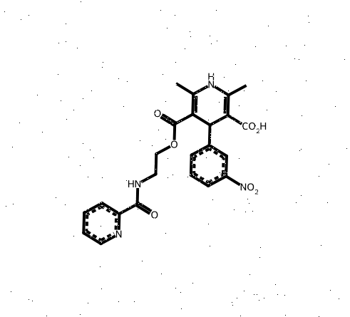 CC1=C(C(=O)O)C(c2cccc([N+](=O)[O-])c2)C(C(=O)OCCNC(=O)c2ccccn2)=C(C)N1